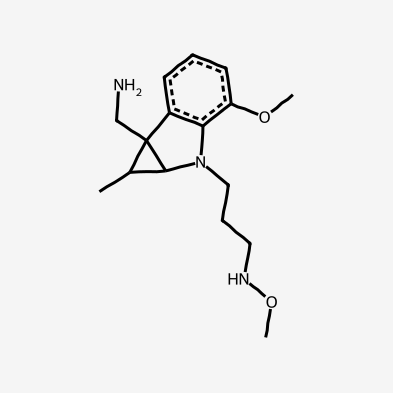 CONCCCN1c2c(OC)cccc2C2(CN)C(C)C12